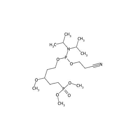 COC(CCOP(OCCC#N)N(C(C)C)C(C)C)CCP(=O)(OC)OC